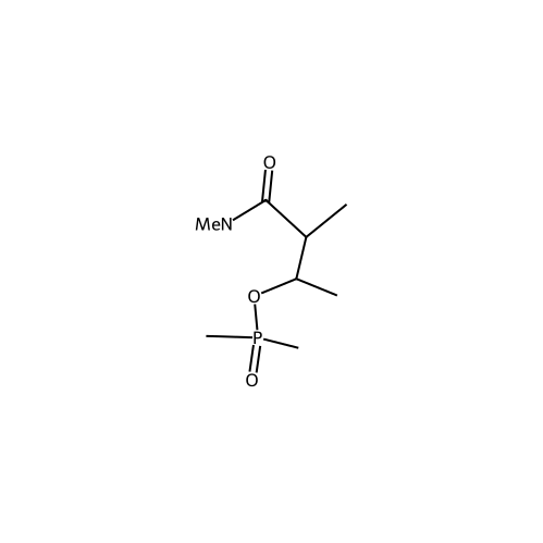 CNC(=O)C(C)C(C)OP(C)(C)=O